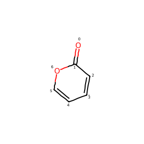 O=c1c[c]cco1